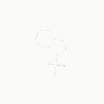 CS(=O)(=O)N1CCc2ncccc21